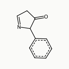 O=C1CC=NC1c1ccccc1